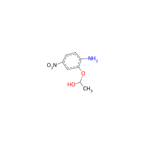 CC(O)Oc1cc([N+](=O)[O-])ccc1N